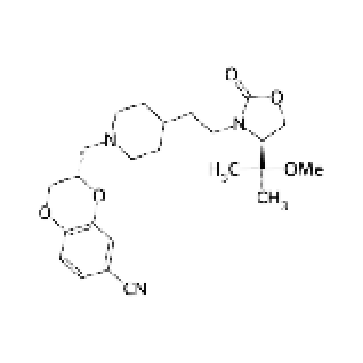 COC(C)(C)[C@@H]1COC(=O)N1CCC1CCN(C[C@H]2COc3ccc(C#N)cc3O2)CC1